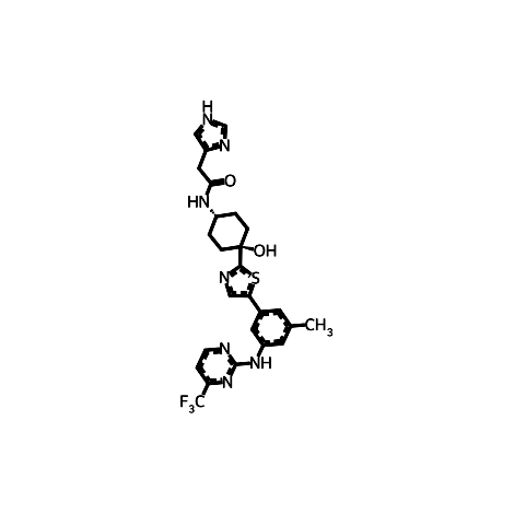 Cc1cc(Nc2nccc(C(F)(F)F)n2)cc(-c2cnc([C@]3(O)CC[C@H](NC(=O)Cc4c[nH]cn4)CC3)s2)c1